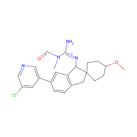 COC1CCC2(CC1)Cc1ccc(-c3cncc(Cl)c3)cc1C2/N=C(/N)N(C)C=O